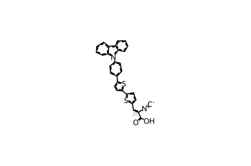 [C-]#[N+]/C(=C\c1ccc(-c2ccc(-c3ccc(-n4c5ccccc5c5ccccc54)cc3)s2)s1)C(=O)O